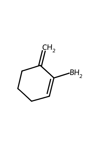 BC1=CCCCC1=C